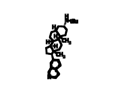 CC(C)(C)N[C@@H]1CC[C@@]2(C)[C@@H](CC[C@@H]3[C@@H]2CC[C@]2(C)[C@@H](c4ccc5ccncc5c4)CC[C@@H]32)C1